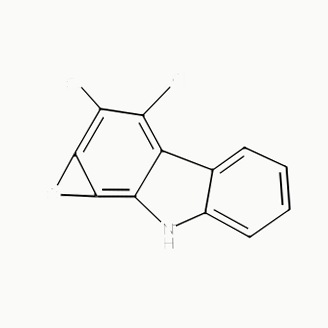 Clc1c2c(c3[nH]c4ccccc4c3c1Cl)O2